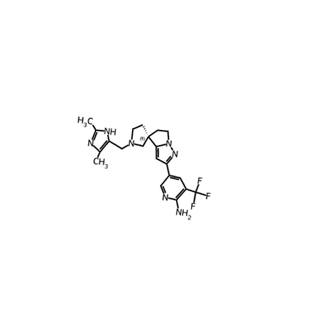 Cc1nc(C)c(CN2CC[C@@]3(CCn4nc(-c5cnc(N)c(C(F)(F)F)c5)cc43)C2)[nH]1